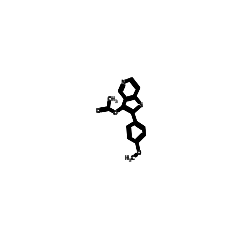 COc1ccc(-c2sc3ccncc3c2OC(C)=O)cc1